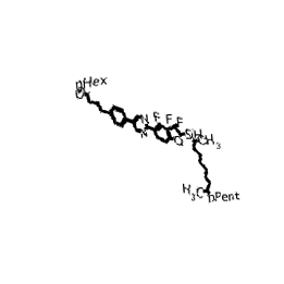 CCCCCCOCCCCc1ccc(-c2cnc(-c3ccc4c(c3F)C(F)(F)C([SiH2]C(C)CCCCCCC(C)CCCCC)O4)nc2)cc1